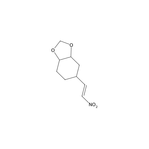 O=[N+]([O-])/C=C/C1CCC2OCOC2C1